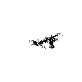 CCCCCC(C(=O)NCNC(=O)c1ccc(-c2ccc(C(=O)NC(CC(=O)O)C(=O)O)c(OCC)c2)o1)C(CC)N(C=O)OC(=O)c1ccc(N2CCCC2=O)cc1